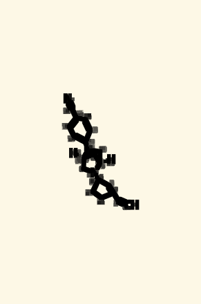 C#CC1=C[C@H](N2C[C@@H]3C[C@H]2CN3c2ccc(C#N)cc2)CC1